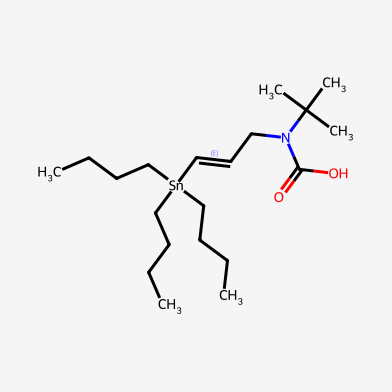 CCC[CH2][Sn](/[CH]=C/CN(C(=O)O)C(C)(C)C)([CH2]CCC)[CH2]CCC